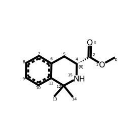 COC(=O)[C@H]1Cc2ccccc2C(C)(C)N1